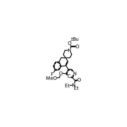 CCN(CC)C(=O)c1cc(OCOC)c(C2=CC3(CCN(C(=O)OC(C)(C)C)CC3)Cc3ccc(F)cc32)cn1